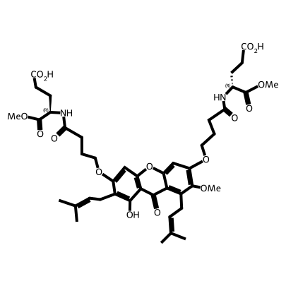 COC(=O)[C@@H](CCC(=O)O)NC(=O)CCCOc1cc2oc3cc(OCCCC(=O)N[C@H](CCC(=O)O)C(=O)OC)c(OC)c(CC=C(C)C)c3c(=O)c2c(O)c1CC=C(C)C